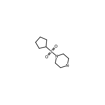 O=S(=O)(C1CCCC1)N1CC[N]CC1